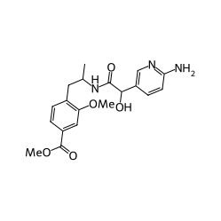 COC(=O)c1ccc(CC(C)NC(=O)C(O)c2ccc(N)nc2)c(OC)c1